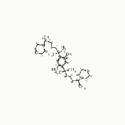 CC(CCCC(C)(C)c1cc(O)c(C(C)(C)CCCC(C)N2CCOCC2)cc1O)N1CCOCC1